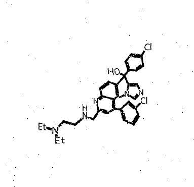 CCN(CC)CCNCc1cc(-c2cccc(Cl)c2)c2cc(C(O)(c3ccc(Cl)cc3)c3cncn3C)ccc2n1